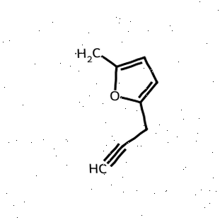 C#CCc1ccc([CH2])o1